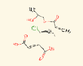 C=CC(=O)OCC(C)O.C=CCl.O=C(O)C=CC(=O)O